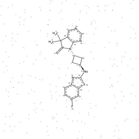 CC1(C)C(=O)N([C@H]2C[C@H](Nc3nc4ccc(F)cc4s3)C2)c2ncncc21